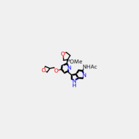 CO[C@@]1(c2cc(OCC3COC3)cc(-c3c[nH]c4cnc(NC(C)=O)cc34)n2)CCOC1